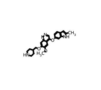 COc1cc2c(Oc3ccc4cc(C)[nH]c4c3)cnnc2cc1OCC1CCNCC1